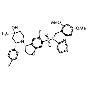 COc1ccc(CN(c2ccncn2)S(=O)(=O)c2cc3c(cc2F)[C@@H](N2CC[C@@](O)(C(F)(F)F)C[C@H]2c2ccc(F)cc2)CCO3)c(OC)c1